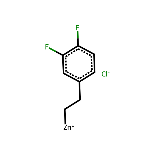 Fc1ccc(C[CH2][Zn+])cc1F.[Cl-]